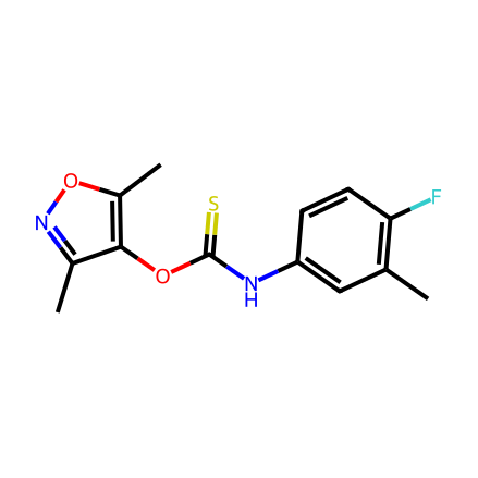 Cc1cc(NC(=S)Oc2c(C)noc2C)ccc1F